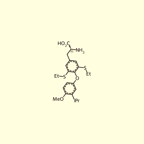 CCSc1cc(C[C@H](N)C(=O)O)cc(SCC)c1Oc1ccc(OC)c(C(C)C)c1